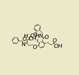 COc1ccccc1CNC(=O)c1cc(OCCc2nc(-c3ccccc3)oc2C)ccc1CCC(=O)O